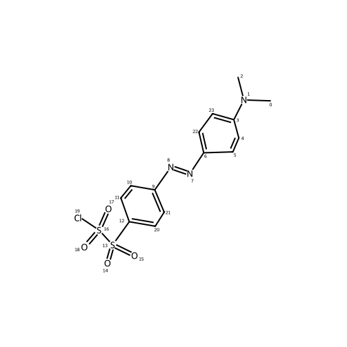 CN(C)c1ccc(N=Nc2ccc(S(=O)(=O)S(=O)(=O)Cl)cc2)cc1